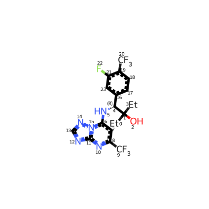 CCC(O)(CC)[C@H](Nc1cc(C(F)(F)F)nc2ncnn12)c1ccc(C(F)(F)F)c(F)c1